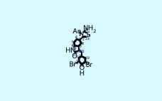 CC(=O)N1C(c2ccc3c(c2)/C(=C/c2cc(Br)c(O)c(Br)c2)C(=O)N3)=CSC1N